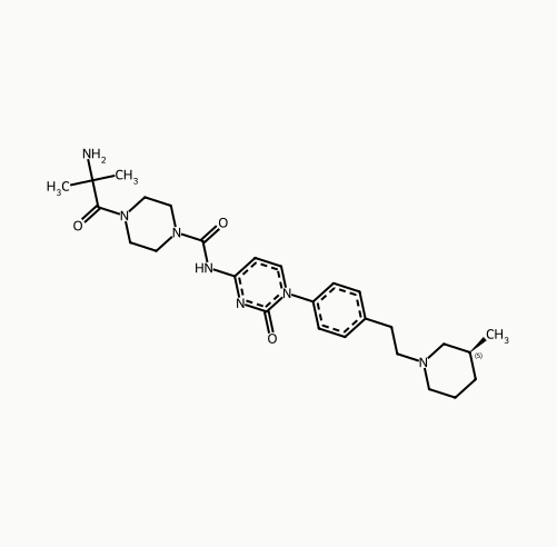 C[C@H]1CCCN(CCc2ccc(-n3ccc(NC(=O)N4CCN(C(=O)C(C)(C)N)CC4)nc3=O)cc2)C1